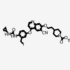 CC(C)(C)OC(=O)N1CCC(CCOc2cc3nccc(Oc4ccc(NC(=O)NC5CC5)c(CI)c4)c3cc2C#N)CC1